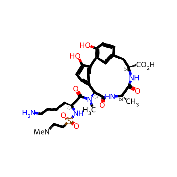 CNCCS(=O)(=O)N[C@@H](CCCCN)C(=O)N(C)[C@@H]1C(=O)N[C@@H](C)C(=O)N[C@H](C(=O)O)Cc2ccc(O)c(c2)-c2cc1ccc2O